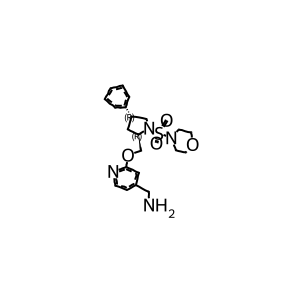 NCc1ccnc(OC[C@H]2C[C@H](c3ccccc3)CN2S(=O)(=O)N2CCOCC2)c1